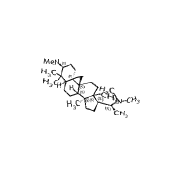 CN[C@H]1CC[C@]23C[C@]24CC[C@]2(C)[C@@H]([C@H](C)N(C)C)CC[C@@]2(C)[C@@H]4CC[C@H]3C1(C)C